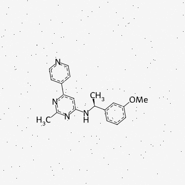 COc1cccc([C@H](C)Nc2cc(-c3ccncc3)nc(C)n2)c1